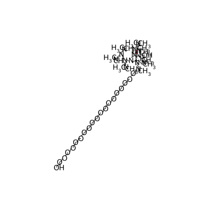 CN(C)CCN(CCN(C)C)CCN(CCN(C)C)CCN(CCN(CCN(C)C)CCN(C)CCOCCOCCOCCOCCOCCOCCOCCOCCOCCOCCOCCOCCOCCOCCOCCOCCOCCOCCOCCO)CCN(CCN(C)C)CCN(CCN(C)C)CCN(C)CCO